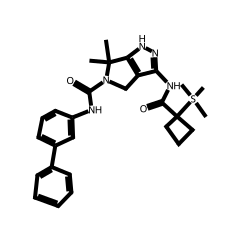 CC1(C)c2[nH]nc(NC(=O)C3(S(C)(C)C)CCC3)c2CN1C(=O)Nc1cccc(-c2ccccc2)c1